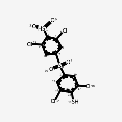 O=[SH](=O)c1c(Cl)cc(S(=O)(=O)c2cc(Cl)c(S)c(Cl)c2)cc1Cl